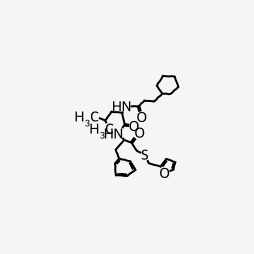 CC(C)CC(NC(=O)CCC1CCCCC1)C(=O)NC(Cc1ccccc1)C(=O)CSCc1ccco1